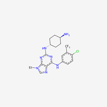 CCn1cnc2c(Nc3ccc(Cl)c(C(F)(F)F)c3)nc(N[C@H]3CC[C@H](N)CC3)nc21